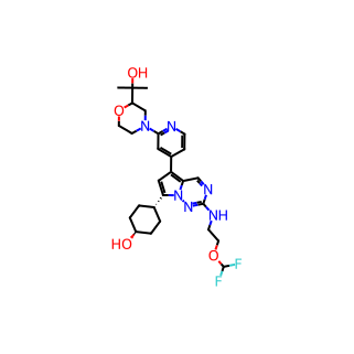 CC(C)(O)C1CN(c2cc(-c3cc([C@H]4CC[C@H](O)CC4)n4nc(NCCOC(F)F)ncc34)ccn2)CCO1